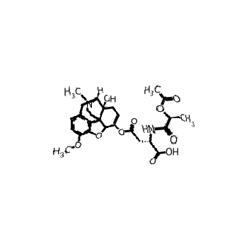 COc1ccc2c3c1OC1C(OC(=O)C[C@H](NC(=O)[C@H](C)OC(C)=O)C(=O)O)=CC[C@@]4(O)[C@@H](C2)N(C)CCC314